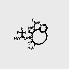 CC1CCCCc2ccnc(c2)-c2c(cnn2C(F)F)NC1=O.O=C(O)C(F)(F)F